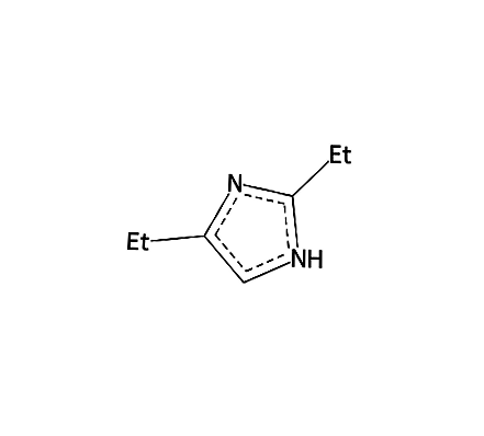 CCc1c[nH]c(CC)n1